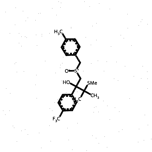 CSC(C)(C)C(O)(C[S+]([O-])Cc1ccc(C)cc1)c1ccc(C(F)(F)F)cc1